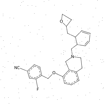 N#Cc1ccc(COc2cccc3c2CN(CC2C=CC=CC2CC2CCO2)CC3)c(F)c1